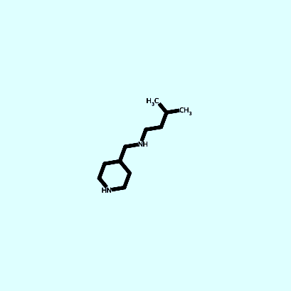 CC(C)CCNCC1CCNCC1